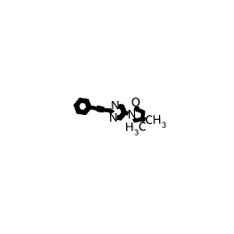 CC1(C)CC(=O)N(c2cnc(C#Cc3ccccc3)nc2)C1